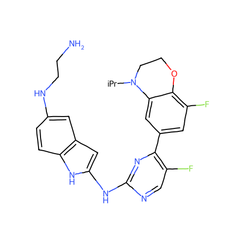 CC(C)N1CCOc2c(F)cc(-c3nc(Nc4cc5cc(NCCN)ccc5[nH]4)ncc3F)cc21